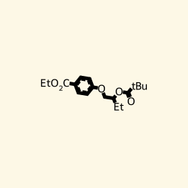 CCOC(=O)c1ccc(OCC(CC)OC(=O)C(C)(C)C)cc1